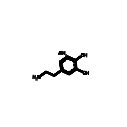 NCCc1ccc(O)c(O)c1.[AlH3]